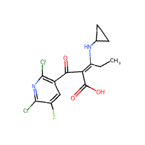 CCC(NC1CC1)=C(C(=O)O)C(=O)c1cc(F)c(Cl)nc1Cl